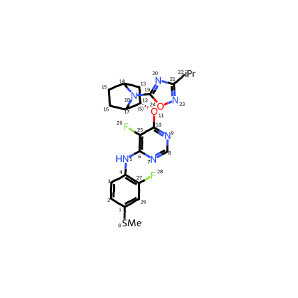 CSc1ccc(Nc2ncnc(O[C@H]3CC4CCC3N4c3nc(C(C)C)no3)c2F)c(F)c1